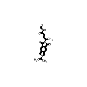 CC(CCC(=O)NC=O)N1C(=O)c2cc3cn(C(C)C)cc3cc2C1=O